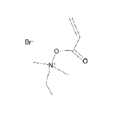 C=CC(=O)O[N+](C)(C)CC.[Br-]